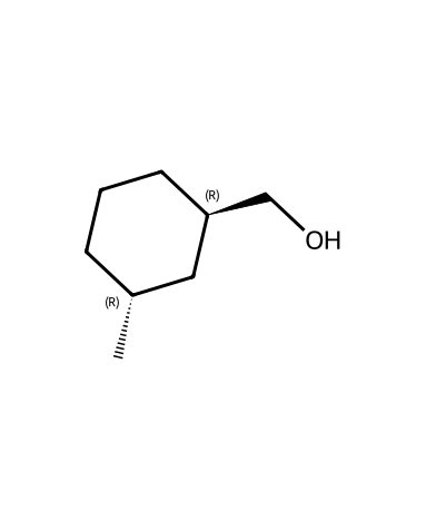 C[C@@H]1CCC[C@@H](CO)C1